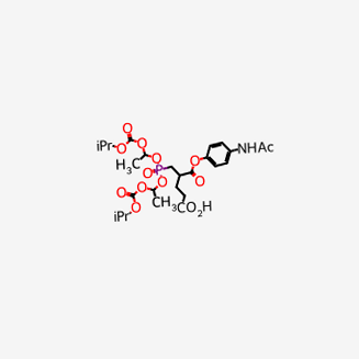 CC(=O)Nc1ccc(OC(=O)C(CCC(=O)O)CP(=O)(OC(C)OC(=O)OC(C)C)OC(C)OC(=O)OC(C)C)cc1